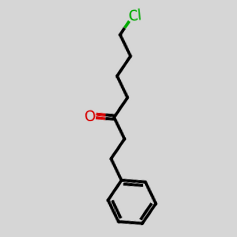 O=C(CCCCCl)CCc1ccccc1